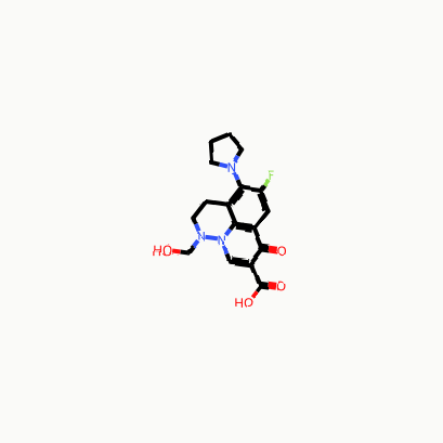 O=C(O)c1cn2c3c(c(N4CCCC4)c(F)cc3c1=O)CCN2CO